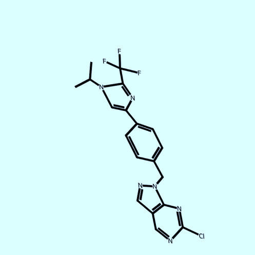 CC(C)n1cc(-c2ccc(Cn3ncc4cnc(Cl)nc43)cc2)nc1C(F)(F)F